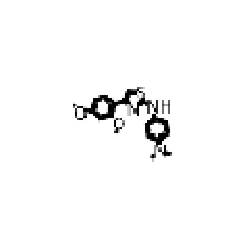 COc1ccc(-c2csc(Nc3ccc(N(C)C)cc3)n2)c(OC)c1